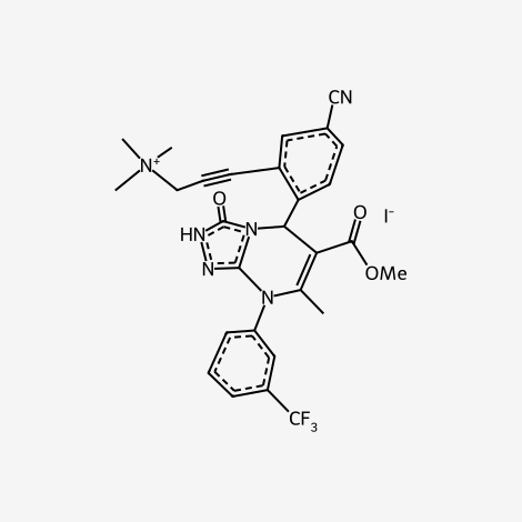 COC(=O)C1=C(C)N(c2cccc(C(F)(F)F)c2)c2n[nH]c(=O)n2C1c1ccc(C#N)cc1C#CC[N+](C)(C)C.[I-]